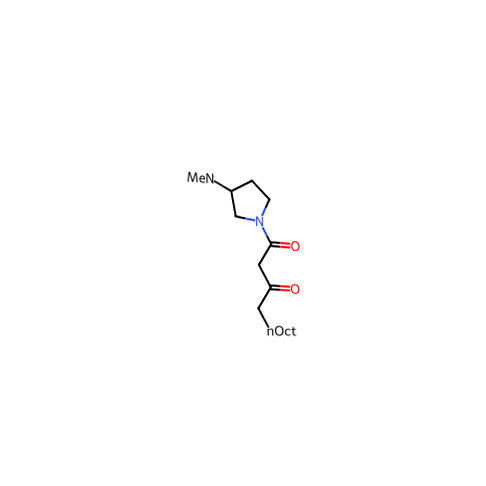 CCCCCCCCCC(=O)CC(=O)N1CCC(NC)C1